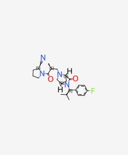 CC(C)[C@H](c1ccc(F)cc1)N1C(=O)[C@@H]2C[C@H]1CN2C[C@H](C)C(=O)N1CCC[C@H]1C#N